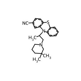 CC(CN1CCCC(C)(C)C1)N1c2ccccc2Sc2ccc(C#N)cc21